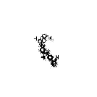 CC(C)(C)OC(=O)n1cc2c(n1)CCC(N(C(=O)c1ccc(-c3ccncc3C#N)cc1)C1CC1)C2